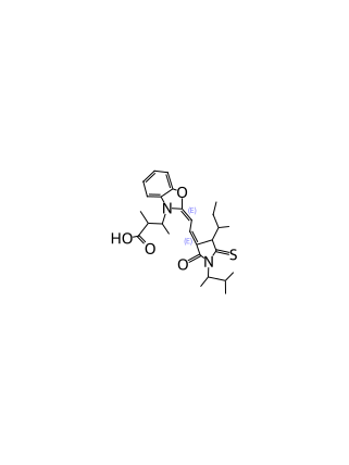 CCC(C)C1C(=S)N(C(C)C(C)C)C(=O)/C1=C/C=C1/Oc2ccccc2N1C(C)C(C)C(=O)O